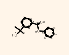 CC(C)(O)c1cccc(C(=O)Oc2ccccc2)c1